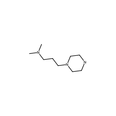 CN(C)CCCN1CC[N]CC1